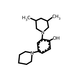 CC1CC(C)CN(c2cc(N3CCCCC3)ccc2O)C1